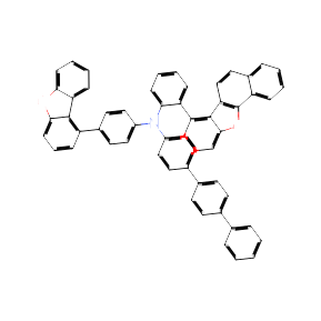 c1ccc(-c2ccc(-c3ccc(N(c4ccc(-c5cccc6oc7ccccc7c56)cc4)c4ccccc4-c4cccc5oc6c7ccccc7ccc6c45)cc3)cc2)cc1